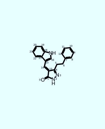 O=C1NN=C(CCc2ccccc2)C1=Cc1c[nH]c2ccccc12